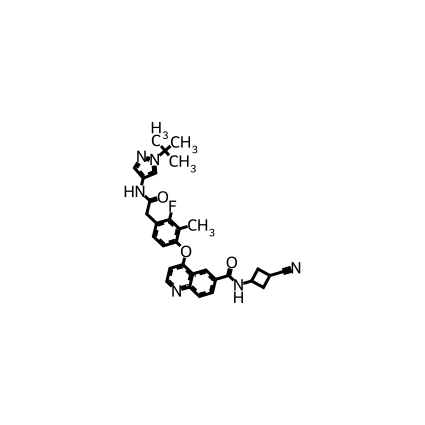 Cc1c(Oc2ccnc3ccc(C(=O)NC4CC(C#N)C4)cc23)ccc(CC(=O)Nc2cnn(C(C)(C)C)c2)c1F